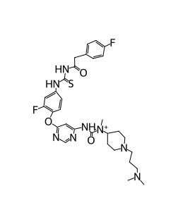 CN(C)CCCN1CCC([N+](C)C(=O)Nc2cc(Oc3ccc(NC(=S)NC(=O)Cc4ccc(F)cc4)cc3F)ncn2)CC1